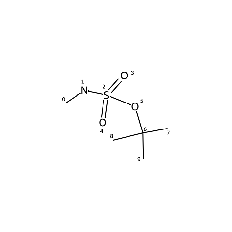 C[N]S(=O)(=O)OC(C)(C)C